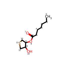 CCCCCCC(=O)OC1CSCC1O